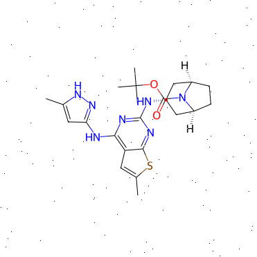 Cc1cc(Nc2nc(N[C@@H]3C[C@H]4CC[C@@H](C3)N4C(=O)OC(C)(C)C)nc3sc(C)cc23)n[nH]1